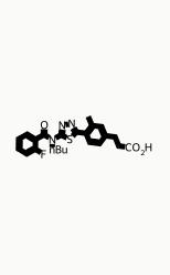 CCCCN(C(=O)c1ccccc1F)c1nnc(-c2ccc(CCC(=O)O)cc2C)s1